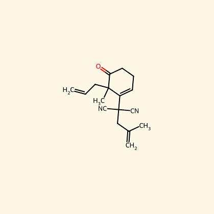 C=CCC1(C)C(=O)CCC=C1C(C#N)(C#N)CC(=C)C